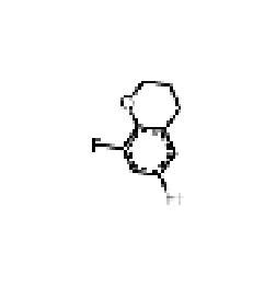 CCc1cc(F)c2c(c1)CCCO2